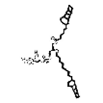 C[N+](C)(C)CCOP(=O)([O-])OC[C@@H](COC(=O)CCCCCC1CCC2C(C1)C1C3CCC3C21)OCCCCCCCCC1CCC2C(C1)C1C3CCC3C21